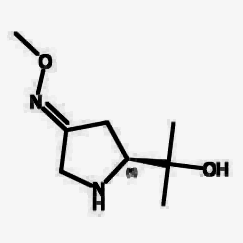 CON=C1CN[C@H](C(C)(C)O)C1